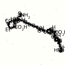 CCN1CCN(CC(=O)O)CCN(CC(=O)N[C@H](CCC(N)=O)C(=O)NCCCOCCOCCOCCCNC(=O)CCCOc2cc(C)c(S(=O)(=O)N[C@@H](CNC(=O)c3ccc4c(cnn4CCCNc4ncc[nH]4)c3)C(=O)O)c(C)c2)CCN(C(=O)O)CC1